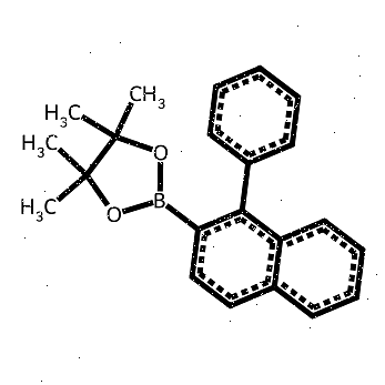 CC1(C)OB(c2ccc3ccccc3c2-c2ccccc2)OC1(C)C